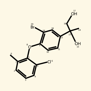 Cc1cccc(Cl)c1Oc1ccc(C(C)(O)CO)cc1Br